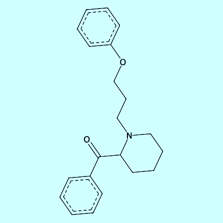 O=C(c1ccccc1)C1CCCCN1CCCOc1ccccc1